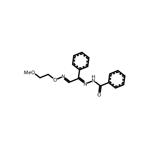 COCCON=CC(=NNC(=O)c1ccccc1)c1ccccc1